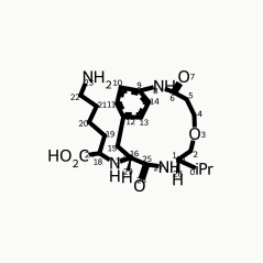 CC(C)[C@H]1COCCC(=O)Nc2ccc(cc2)C[C@@H](NC(CCCCN)C(=O)O)C(=O)N1